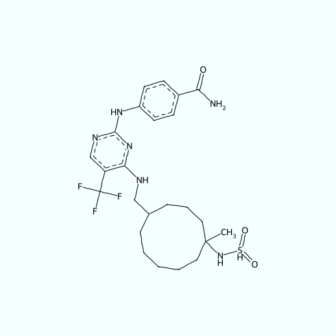 CC1(N[SH](=O)=O)CCCCCC(CNc2nc(Nc3ccc(C(N)=O)cc3)ncc2C(F)(F)F)CCC1